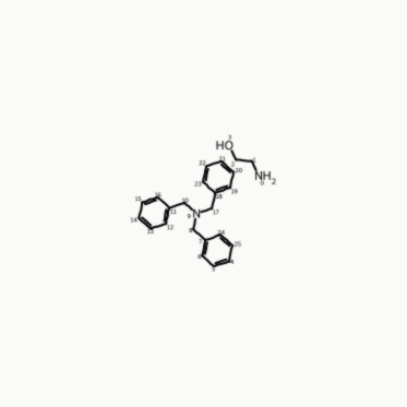 NCCO.c1ccc(CN(Cc2ccccc2)Cc2ccccc2)cc1